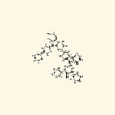 C1=Cc2c3c(n(C4=CC=C(c5ccccc5)CC4)c2CC1)CC(c1ccc2c(c1)c1ccccc1n2C1=CC(c2ccccc2)NC(c2ccccc2)C1)C=C3